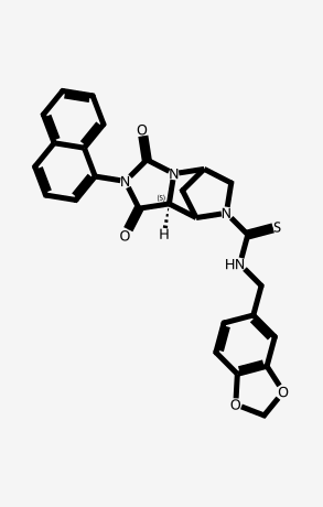 O=C1[C@@H]2C3CC(CN3C(=S)NCc3ccc4c(c3)OCO4)N2C(=O)N1c1cccc2ccccc12